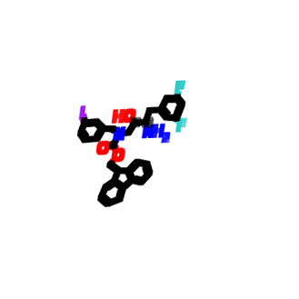 N[C@@H](Cc1cc(F)cc(F)c1)[C@H](O)CN(Cc1cccc(I)c1)C(=O)OCC1c2ccccc2-c2ccccc21